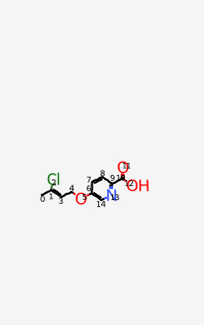 CC(Cl)=CCOc1ccc(C(=O)O)nc1